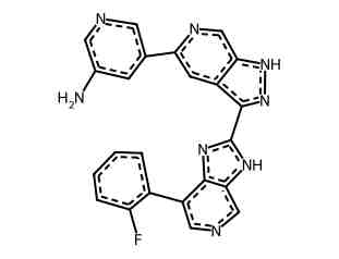 Nc1cncc(-c2cc3c(-c4nc5c(-c6ccccc6F)cncc5[nH]4)n[nH]c3cn2)c1